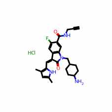 C#CCNC(=O)c1cc2c(cc1F)/C(=C/c1[nH]c(C)cc1C)C(=O)N2CC1CCC(N)CC1.Cl